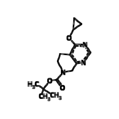 CC(C)(C)OC(=O)N1CCc2c(ncnc2OC2CC2)C1